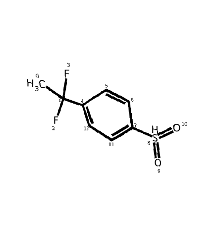 CC(F)(F)c1ccc([SH](=O)=O)cc1